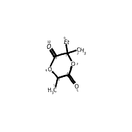 CCC1(C)OC(=O)C(C)OC1=O